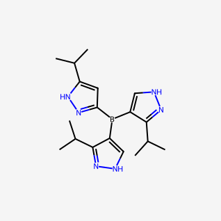 CC(C)c1cc(B(c2c[nH]nc2C(C)C)c2c[nH]nc2C(C)C)n[nH]1